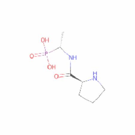 C[C@H](NC(=O)[C@@H]1CCCN1)P(=O)(O)O